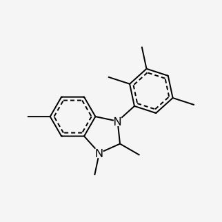 Cc1ccc2c(c1)N(C)C(C)N2c1cc(C)cc(C)c1C